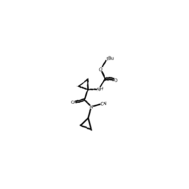 CC(C)(C)OC(=O)NC1(C(=O)N(C#N)C2CC2)CC1